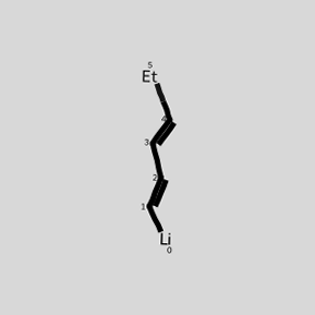 [Li]/[CH]=C/C=C/CC